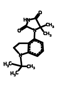 CC(C)(C)N1CCc2c1cccc2N1C(=O)NC(=O)C1(C)C